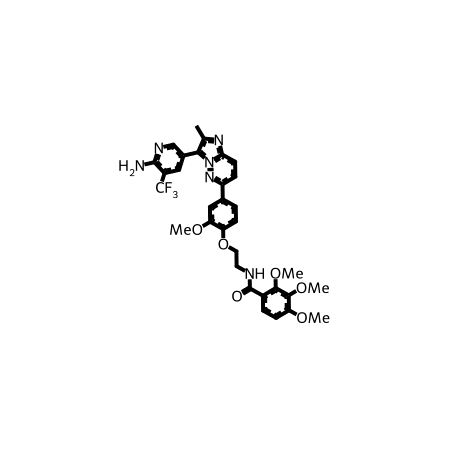 COc1cc(-c2ccc3nc(C)c(-c4cnc(N)c(C(F)(F)F)c4)n3n2)ccc1OCCNC(=O)c1ccc(OC)c(OC)c1OC